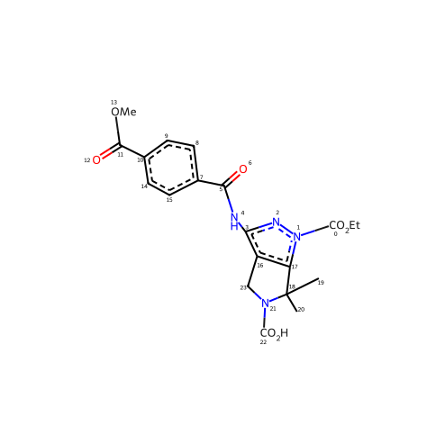 CCOC(=O)n1nc(NC(=O)c2ccc(C(=O)OC)cc2)c2c1C(C)(C)N(C(=O)O)C2